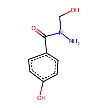 NN(CO)C(=O)c1ccc(O)cc1